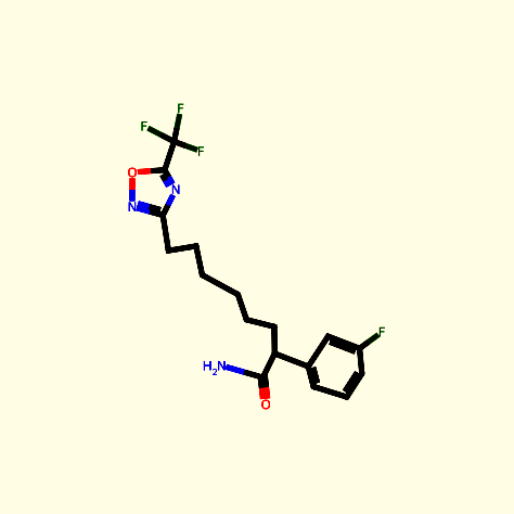 NC(=O)C(CCCCCCc1noc(C(F)(F)F)n1)c1cccc(F)c1